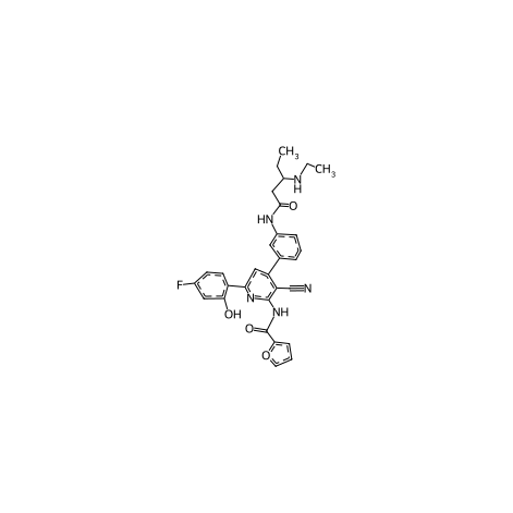 CCNC(CC)CC(=O)Nc1cccc(-c2cc(-c3ccc(F)cc3O)nc(NC(=O)c3ccco3)c2C#N)c1